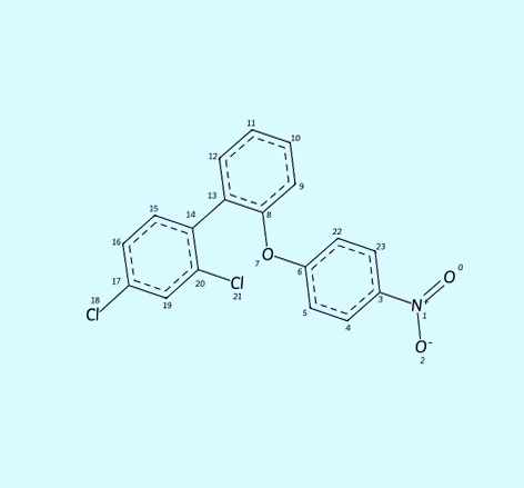 O=[N+]([O-])c1ccc(Oc2ccccc2-c2ccc(Cl)cc2Cl)cc1